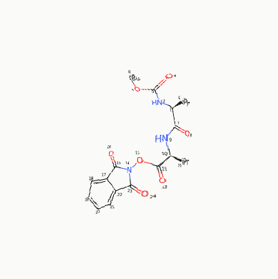 CC(C)[C@H](NC(=O)OC(C)(C)C)C(=O)N[C@H](C(=O)ON1C(=O)c2ccccc2C1=O)C(C)C